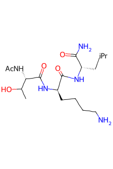 CC(=O)N[C@H](C(=O)N[C@H](CCCCN)C(=O)N[C@@H](CC(C)C)C(N)=O)C(C)O